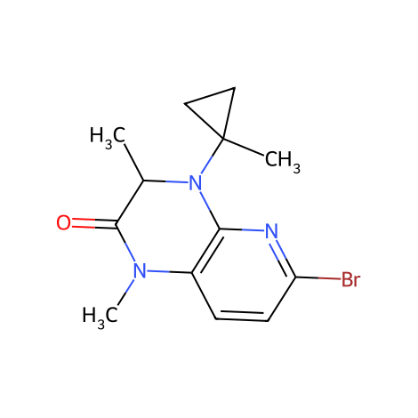 CC1C(=O)N(C)c2ccc(Br)nc2N1C1(C)CC1